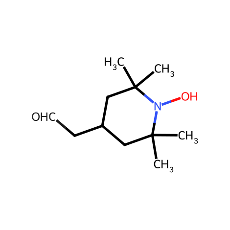 CC1(C)CC(CC=O)CC(C)(C)N1O